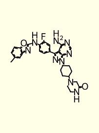 Cc1ccc2oc(Nc3ccc(-c4nn(C5CCC(N6CCNC(=O)C6)CC5)c5ncnc(N)c45)cc3F)nc2c1